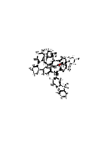 CC1(C)c2ccccc2-c2ccc(N(c3ccc4c(c3)OC3C=CC=CC43)c3ccc4c(c3)C3(c5ccccc5-c5ccccc5-4)c4ccccc4-c4c3ccc3ccccc43)cc21